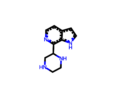 c1cc2cc[nH]c2c(C2CNCCN2)n1